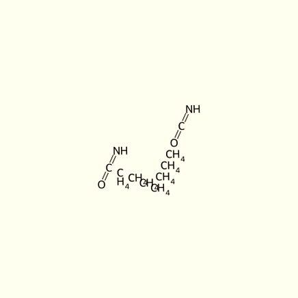 C.C.C.C.C.C.C.N=C=O.N=C=O